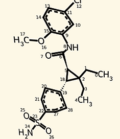 CCC1(CC)[C@H](C(=O)Nc2cc(Cl)ccc2OC)[C@H]1c1ccc(S(N)(=O)=O)cc1